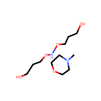 CN1CCOCC1.OCCCONOCCCO